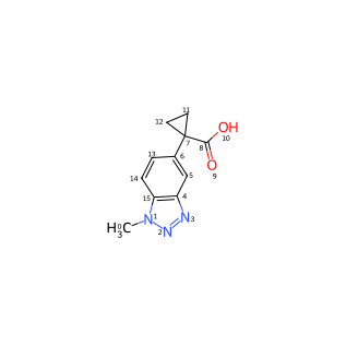 Cn1nnc2cc(C3(C(=O)O)CC3)ccc21